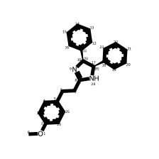 COc1ccc(CCC2=N[C@@H](c3ccccc3)[C@@H](c3ccccc3)N2)cc1